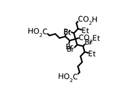 CCOC(=O)C(C(Br)C(CC)CCCC(=O)O)(C(Br)C(CC)CC(=O)O)C(Br)C(Br)C(CC)CCCCC(=O)O